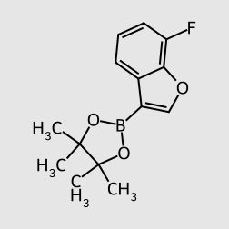 CC1(C)OB(c2coc3c(F)cccc23)OC1(C)C